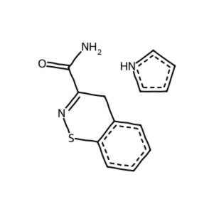 NC(=O)C1=NSc2ccccc2C1.c1cc[nH]c1